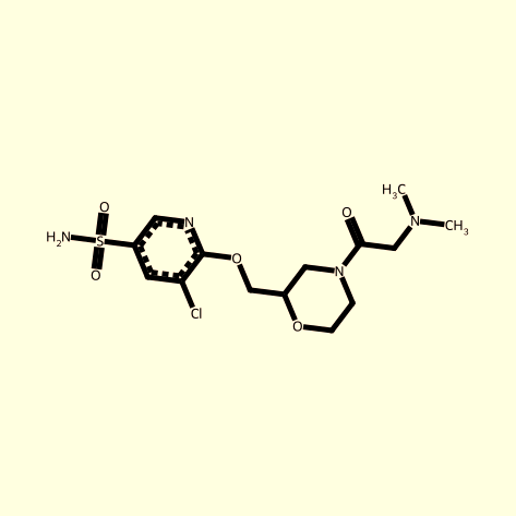 CN(C)CC(=O)N1CCOC(COc2ncc(S(N)(=O)=O)cc2Cl)C1